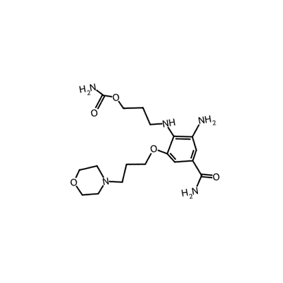 NC(=O)OCCCNc1c(N)cc(C(N)=O)cc1OCCCN1CCOCC1